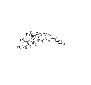 CCCN(CC)CCCN(CCCN(CC)CCC)C[Si](C)(C)OC